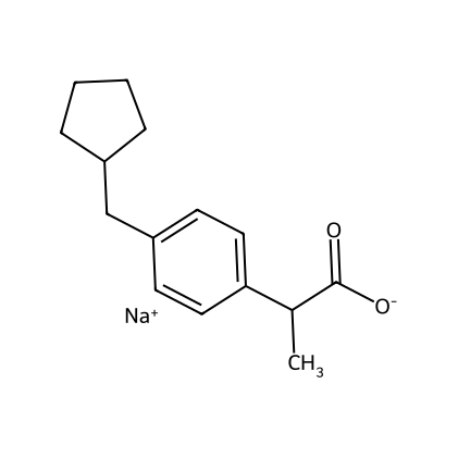 CC(C(=O)[O-])c1ccc(CC2CCCC2)cc1.[Na+]